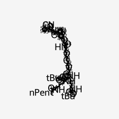 CCCCCC(=O)NCCCC[C@H](NC(=O)[C@H](CCCCNC(=O)OC(C)(C)C)NC(=O)CCOCCOCCOCCNC(=O)COc1ccc2c(C(=O)NCC(=O)N3CCC[C@H]3C#N)ccnc2c1)C(=O)OC(C)(C)C